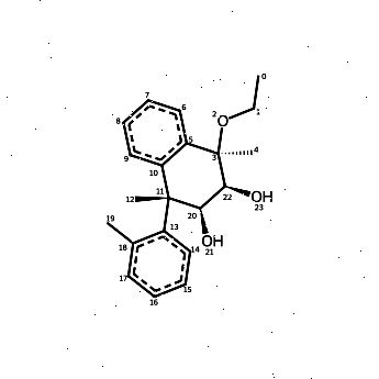 CCO[C@]1(C)c2ccccc2[C@@](C)(c2ccccc2C)[C@H](O)[C@@H]1O